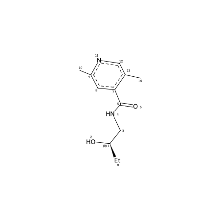 CC[C@@H](O)CNC(=O)c1cc(C)ncc1C